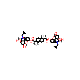 Cc1c(CC(=O)Oc2ccc3c4c2O[C@H]2C(=O)CC[C@@]5(O)[C@@H](C3)N(CC3CC3)CC[C@]425)ccc2c(C)c(CC(=O)Oc3ccc4c5c3O[C@H]3C(=O)CC[C@@]6(O)[C@@H](C4)N(CC4CC4)CC[C@]536)ccc12